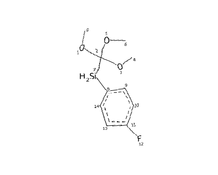 COC(OC)(OC)[SiH2]c1ccc(F)cc1